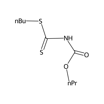 CCCCSC(=S)NC(=O)OCCC